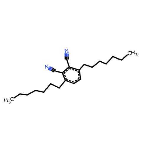 CCCCCCCc1ccc(CCCCCCC)c(C#N)c1C#N